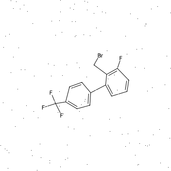 Fc1cccc(-c2ccc(C(F)(F)F)cc2)c1CBr